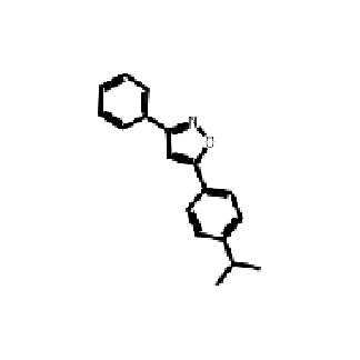 CC(C)c1ccc(-c2cc(-c3ccccc3)no2)cc1